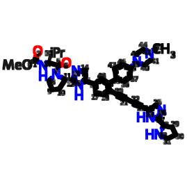 COC(=O)N[C@H](C(=O)N1CCC[C@H]1c1ncc(-c2ccc(C#CC#Cc3cnc(C4CCCN4)[nH]3)c(-c3ccc(N4CCN(C)CC4)cc3)c2)[nH]1)C(C)C